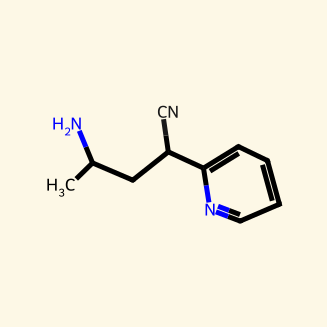 CC(N)CC(C#N)c1ccccn1